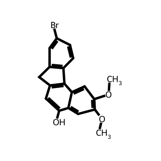 COc1cc2c(O)cc3c(c2cc1OC)-c1ccc(Br)cc1C3